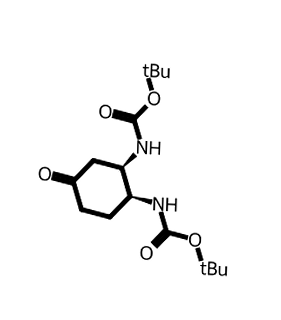 CC(C)(C)OC(=O)N[C@H]1CCC(=O)C[C@H]1NC(=O)OC(C)(C)C